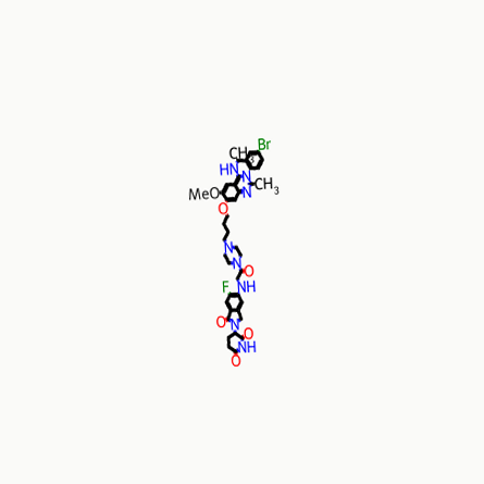 COc1cc2c(N[C@H](C)c3cccc(Br)c3)nc(C)nc2cc1OCCCCN1CCN(C(=O)CNc2cc3c(cc2F)C(=O)N(C2CCC(=O)NC2=O)C3)CC1